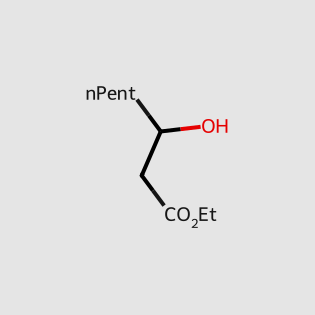 CCCCCC(O)CC(=O)OCC